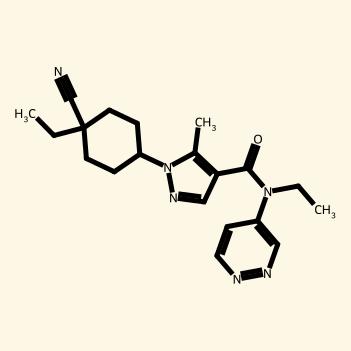 CCN(C(=O)c1cnn(C2CCC(C#N)(CC)CC2)c1C)c1ccnnc1